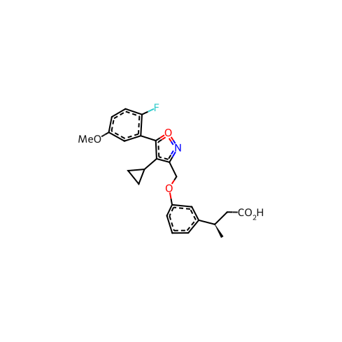 COc1ccc(F)c(-c2onc(COc3cccc([C@H](C)CC(=O)O)c3)c2C2CC2)c1